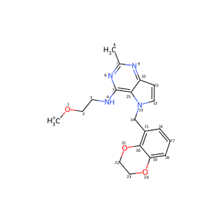 COCCNc1nc(C)nc2ccn(Cc3cccc4c3OCCO4)c12